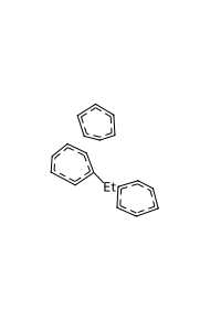 CCc1ccccc1.c1ccccc1.c1ccccc1